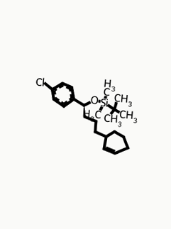 CC(C)(C)[Si](C)(C)O[C@@H](CCCC1C=CCCC1)c1ccc(Cl)cc1